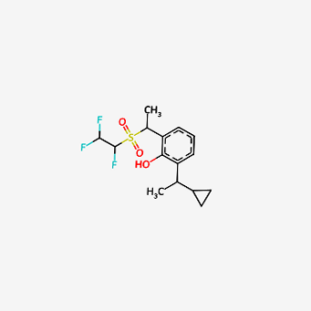 CC(c1cccc(C(C)S(=O)(=O)C(F)C(F)F)c1O)C1CC1